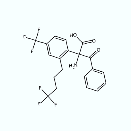 NC(C(=O)O)(C(=O)c1ccccc1)c1ccc(C(F)(F)F)cc1CCCC(F)(F)F